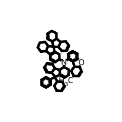 CC1C=CC2Oc3cccc(N(C4C=CC5=C(C4)C4(C6C=CCCC6C6CC=CCC64)C4CCCCC54)C4CCC=C5C4C4C=CC=CC4C5(c4ccccc4)C4CC=CCC4)c3C2C1